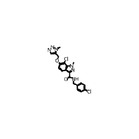 Cn1nncc1COc1ccc2c(C(=O)NCc3ccc(Cl)cc3)nn(C)c2c1Cl